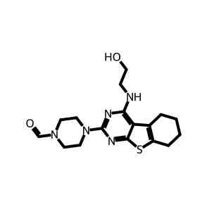 O=CN1CCN(c2nc(NCCO)c3c4c(sc3n2)CCCC4)CC1